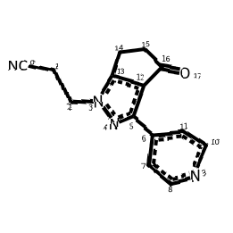 N#CCCn1nc(-c2ccncc2)c2c1CCC2=O